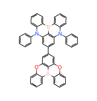 c1ccc(N2c3ccccc3B3c4ccccc4N(c4ccccc4)c4cc(-c5cc6c7c(c5)Oc5ccccc5B7c5ccccc5O6)cc2c43)cc1